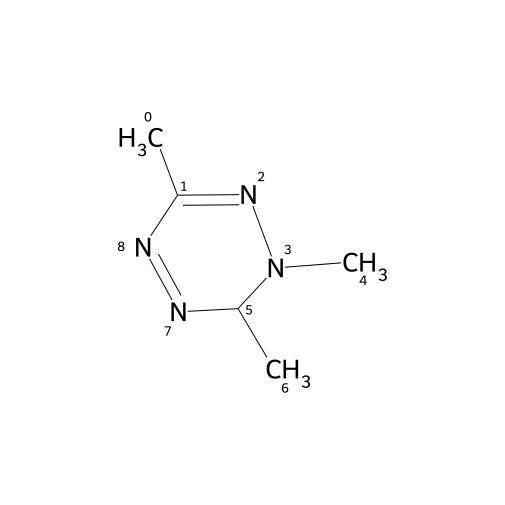 CC1=NN(C)C(C)N=N1